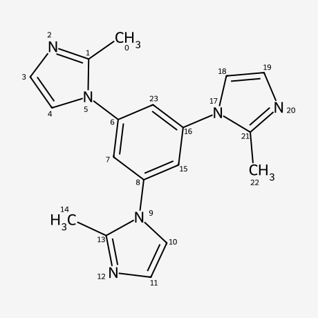 Cc1nccn1-c1cc(-n2ccnc2C)cc(-n2ccnc2C)c1